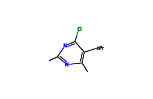 CCCc1c(C)nc(C)nc1Cl